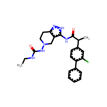 CCNC(=O)NN1CCc2n[nH]c(NC(=O)C(C)c3ccc(-c4ccccc4)c(F)c3)c2C1